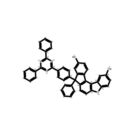 N#Cc1ccc2c(c1)C(c1ccccc1)(c1ccc(-c3nc(-c4ccccc4)nc(-c4ccccc4)n3)cc1)c1ccc3oc4ccc(C#N)cc4c3c1-2